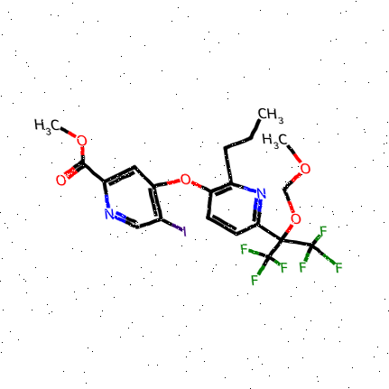 CCCc1nc(C(OCOC)(C(F)(F)F)C(F)(F)F)ccc1Oc1cc(C(=O)OC)ncc1I